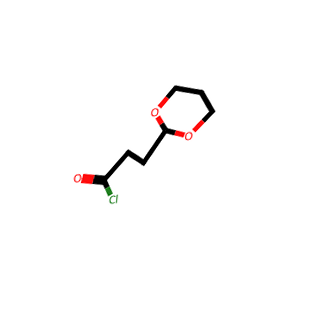 O=C(Cl)CCC1OCCCO1